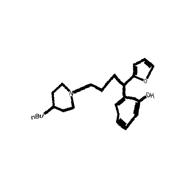 CCCCC1CCN(CCCC(c2ccco2)c2ccccc2O)CC1